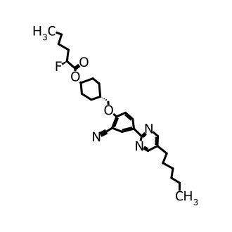 CCCCCCc1cnc(-c2ccc(OC[C@H]3CC[C@H](OC(=O)[C@@H](F)CCCC)CC3)c(C#N)c2)nc1